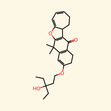 CCC(O)(CC)CCOC1=CC2=C(CC1)C(=O)C1=C(OC3=CC=CCCC31)C2(C)C